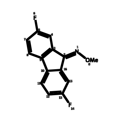 CON=C1c2cc(F)ccc2-c2ccc(F)cc21